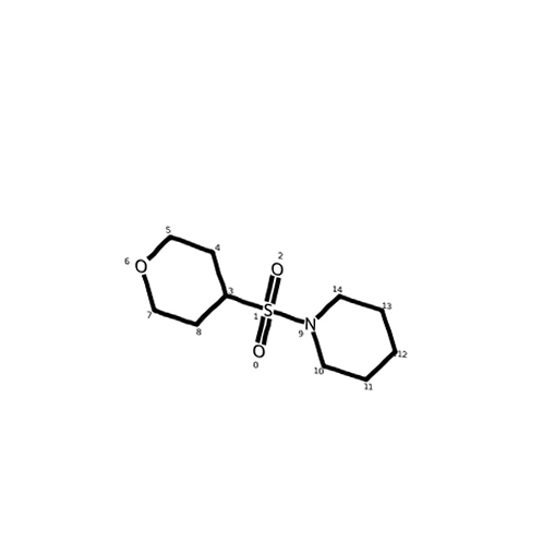 O=S(=O)(C1CCOCC1)N1CC[CH]CC1